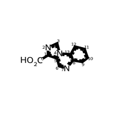 O=C(O)c1ncn2c1cnc1ccccc12